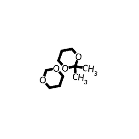 C1COCOC1.CC1(C)OCCCO1